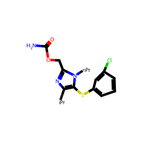 CCCn1c(COC(N)=O)nc(C(C)C)c1Sc1cccc(Cl)c1